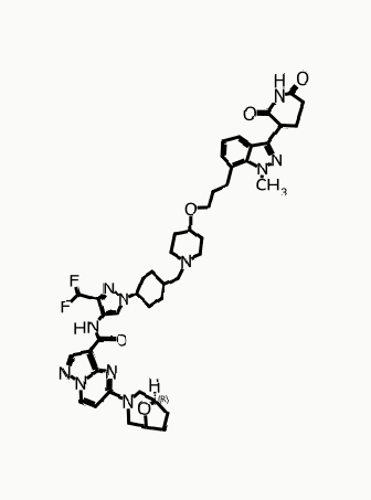 Cn1nc(C2CCC(=O)NC2=O)c2cccc(CCCOC3CCN(CC4CCC(n5cc(NC(=O)c6cnn7ccc(N8CC9CC[C@H](C8)O9)nc67)c(C(F)F)n5)CC4)CC3)c21